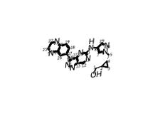 OC[C@@H]1C[C@H]1Cn1cc(Nc2ncc3nnn(-c4ccc5nccnc5c4)c3n2)cn1